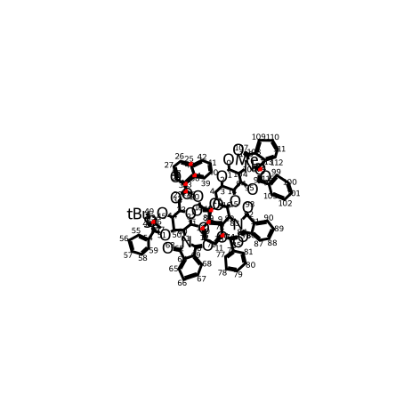 COC1OC(COC(=O)c2ccccc2)C(OC2OC(COC(=O)c3ccccc3)C(OC3OC(COC(=O)c4ccccc4)C(O[Si](C)(C)C(C)(C)C)C(OC(=O)c4ccccc4)C3N3C(=O)c4ccccc4C3=O)C(OC(=O)c3ccccc3)C2N2C(=O)c3ccccc3C2=O)C(OC(=O)c2ccccc2)C1N1C(=O)c2ccccc2C1=O